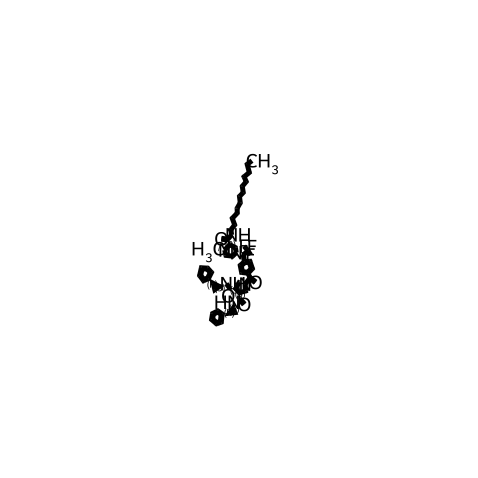 CCCCCCCCCCCCCCNC(=O)[C@H]1CN(C(c2ccc(C(=O)N3C[C@@H](C(=O)N[C@H]4C[C@@H]4c4ccccc4)[C@H](C(=O)N[C@H]4C[C@@H]4c4ccccc4)C3)cc2)C(F)(F)F)CCN1C